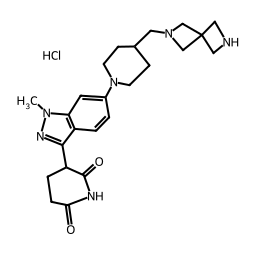 Cl.Cn1nc(C2CCC(=O)NC2=O)c2ccc(N3CCC(CN4CC5(CNC5)C4)CC3)cc21